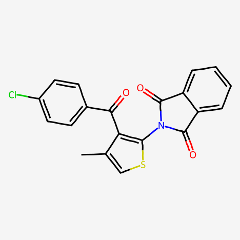 Cc1csc(N2C(=O)c3ccccc3C2=O)c1C(=O)c1ccc(Cl)cc1